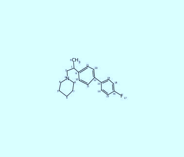 CC(CN1CCCCC1)c1ccc(-c2ccc(F)cc2)cc1